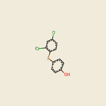 Oc1ccc(Sc2ccc(Cl)cc2Cl)cc1